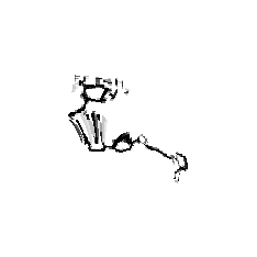 Nc1ncc(-c2cnc3ccc(-c4ccc(OCCCN5CCCC5=O)cc4)nn23)cc1C(F)(F)F